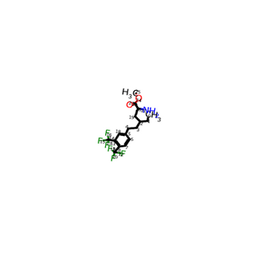 CCC(CCc1ccc(C(F)(F)F)c(C(F)(F)F)c1)CC(N)C(=O)OC